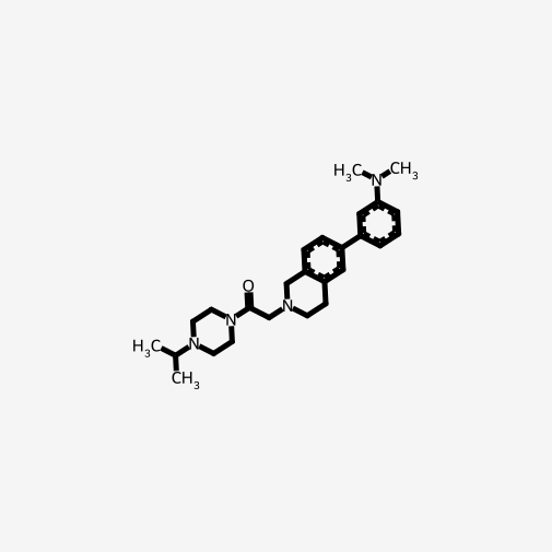 CC(C)N1CCN(C(=O)CN2CCc3cc(-c4cccc(N(C)C)c4)ccc3C2)CC1